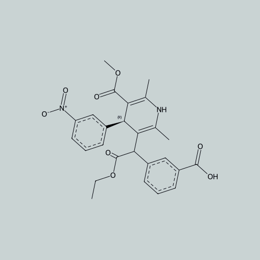 CCOC(=O)C(C1=C(C)NC(C)=C(C(=O)OC)[C@@H]1c1cccc([N+](=O)[O-])c1)c1cccc(C(=O)O)c1